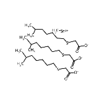 CC(C)CCCCCSCC(=O)[O-].CC(C)CCCCCSCC(=O)[O-].CC(C)CCCCCSCC(=O)[O-].[CH3][Sn+3]